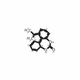 CC(C)=c1cccc2c1=C1C=CC=CC1OC(=O)O2